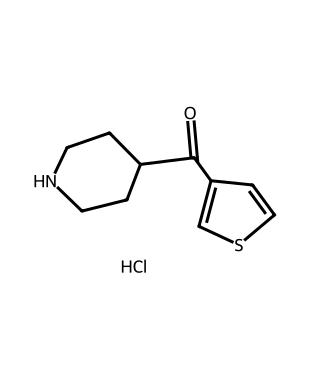 Cl.O=C(c1ccsc1)C1CCNCC1